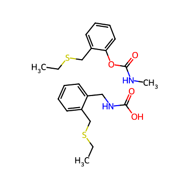 CCSCc1ccccc1CNC(=O)O.CCSCc1ccccc1OC(=O)NC